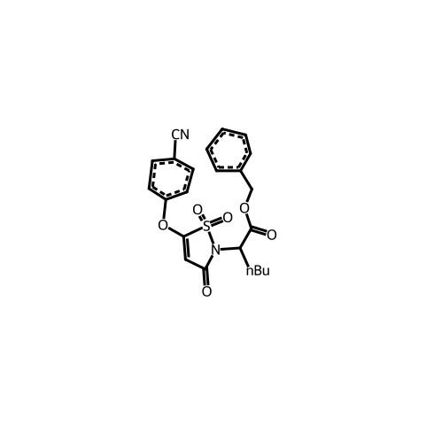 CCCCC(C(=O)OCc1ccccc1)N1C(=O)C=C(Oc2ccc(C#N)cc2)S1(=O)=O